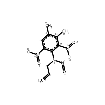 C=CCN(N=O)c1c([N+](=O)[O-])cc(C)c(C)c1[N+](=O)[O-]